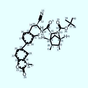 C[C@@H]1[C@H](C)[C@@H]2C[C@H]1[C@@H](C(=O)N[C@H](C#N)Cc1ccc(-c3ccc4oc(=O)n(C)c4c3)cc1F)N2C(=O)OC(C)(C)C